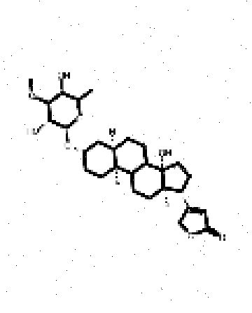 COC1[C@@H](O)C(C)O[C@@H](O[C@H]2CC[C@]3(C)C4CC[C@]5(C)[C@@H](C6=CC(=O)OC6)CC[C@]5(O)C4CC[C@@H]3C2)[C@@H]1O